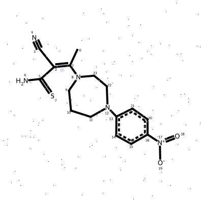 C/C(=C(\C#N)C(N)=S)N1CCCN(c2ccc([N+](=O)[O-])cc2)CC1